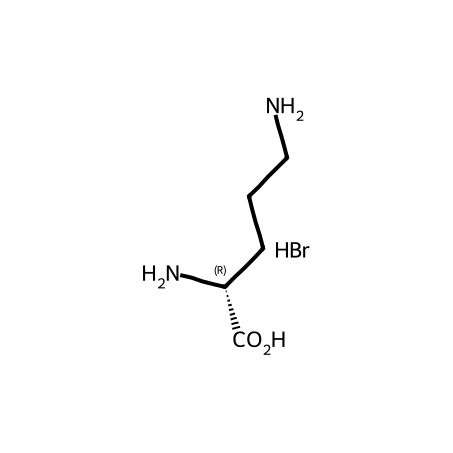 Br.NCCC[C@@H](N)C(=O)O